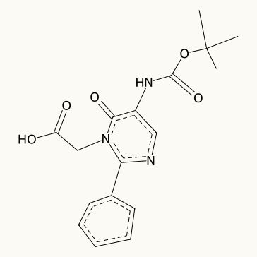 CC(C)(C)OC(=O)Nc1cnc(-c2ccccc2)n(CC(=O)O)c1=O